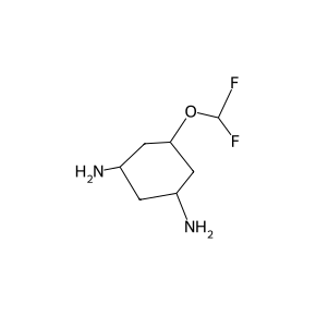 NC1CC(N)CC(OC(F)F)C1